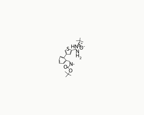 CN(Cc1ccccc1-c1csc([C@@H](N)N[S@+]([O-])C(C)(C)C)c1)C(=O)OC(C)(C)C